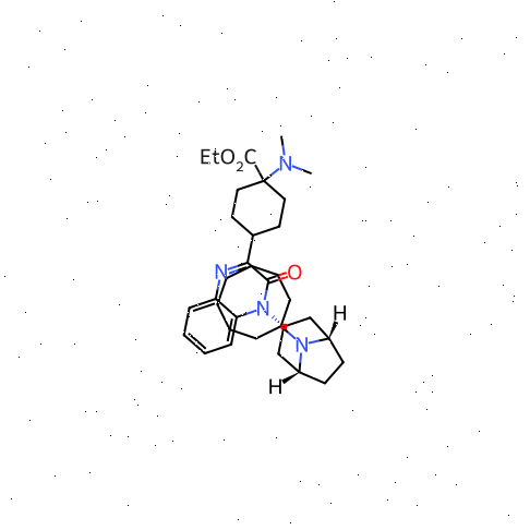 CCOC(=O)C1(N(C)C)CCC(c2nc3ccccc3n([C@H]3C[C@H]4CC[C@@H](C3)N4C3CCCCCCC3)c2=O)CC1